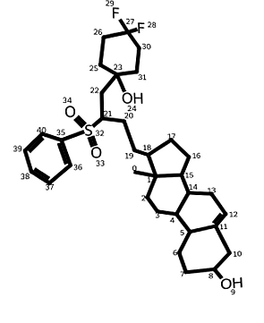 CC12CCC3C4CCC(O)CC4=CCC3C1CCC2CCC(CC1(O)CCC(F)(F)CC1)S(=O)(=O)c1ccccc1